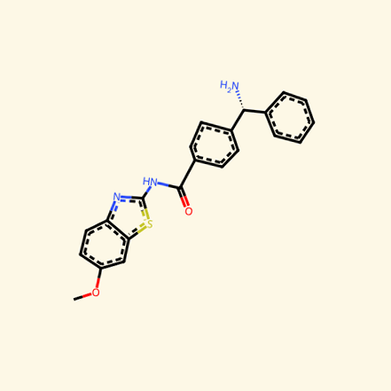 COc1ccc2nc(NC(=O)c3ccc([C@H](N)c4ccccc4)cc3)sc2c1